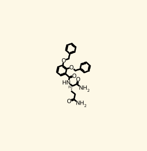 NC(=O)CC[C@H](NC(=O)c1cccc(OCc2ccccc2)c1OCc1ccccc1)C(N)=O